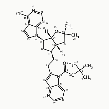 CC(C)(C)OC(=O)n1c(CC[C@H]2C[C@@H](n3ccc4c(Cl)ncnc43)[C@@H]3OC(C)(C)C[C@H]23)cc2ncccc21